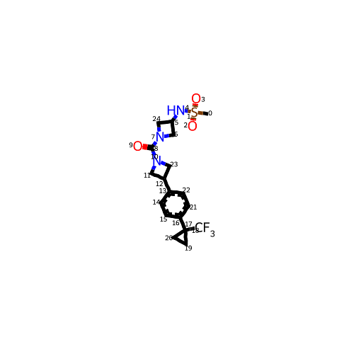 CS(=O)(=O)NC1CN(C(=O)N2CC(c3ccc(C4(C(F)(F)F)CC4)cc3)C2)C1